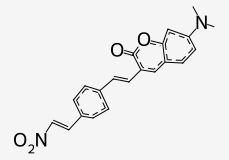 CN(C)c1ccc2cc(C=Cc3ccc(C=C[N+](=O)[O-])cc3)c(=O)oc2c1